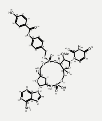 CO[C@@H]1[C@@H]2O[P@](=O)(SCc3ccc(OC(=O)c4ccc(O)cc4)cc3)OC[C@@H]3C[C@@H](OP(=O)(O)OC[C@H]2O[C@H]1n1ccc(=O)[nH]c1=O)[C@H](n1cnc2c(N)ncnc21)O3